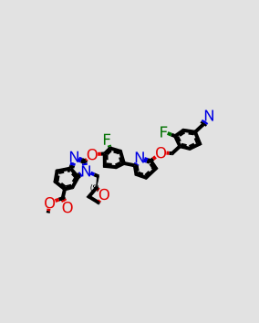 COC(=O)c1ccc2nc(Oc3ccc(-c4cccc(OCc5ccc(C#N)cc5F)n4)cc3F)n(C[C@@H]3CCO3)c2c1